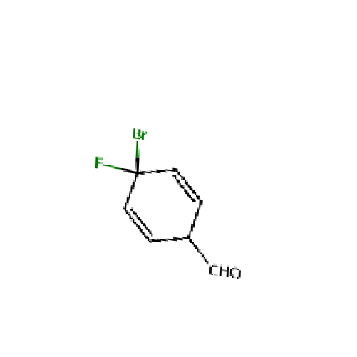 O=CC1C=CC(F)(Br)C=C1